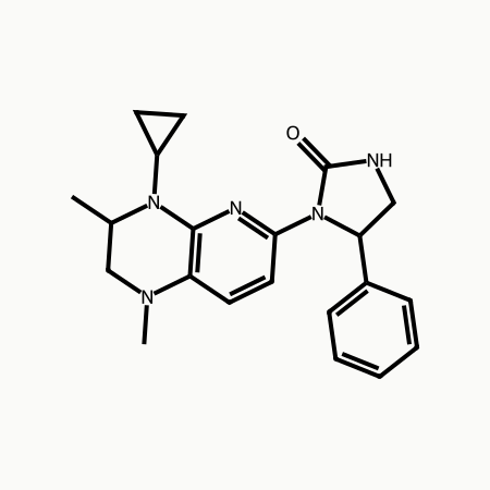 CC1CN(C)c2ccc(N3C(=O)NCC3c3ccccc3)nc2N1C1CC1